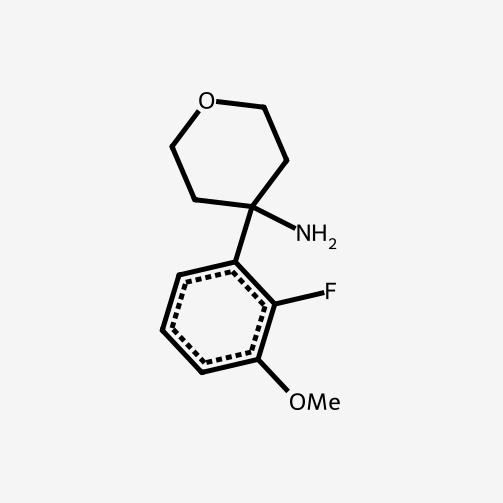 COc1cccc(C2(N)CCOCC2)c1F